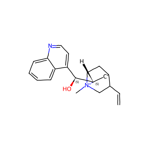 C=CC1C[N+]2(C)CCC1C[C@H]2[C@@H](O)c1ccnc2ccccc12